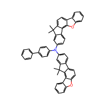 CC1(C)c2cc(N(c3ccc(-c4ccccc4)cc3)c3ccc4c(c3)C(C)(C)c3c-4ccc4oc5ccccc5c34)ccc2-c2c1ccc1c2oc2ccccc21